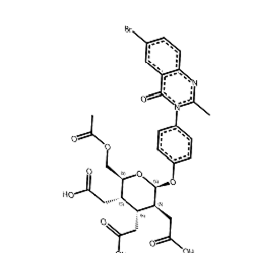 CC(=O)OC[C@H]1O[C@@H](Oc2ccc(-n3c(C)nc4ccc(Br)cc4c3=O)cc2)[C@@H](CC(=O)O)[C@H](CC(=O)O)[C@@H]1CC(=O)O